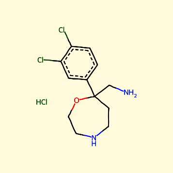 Cl.NCC1(c2ccc(Cl)c(Cl)c2)CCNCCO1